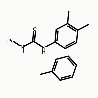 Cc1ccc(NC(=O)NC(C)C)cc1C.Cc1ccccc1